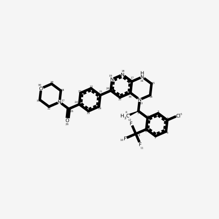 C[C@H](c1cc(Cl)ccc1C(F)(F)F)N1CCNc2nnc(-c3ccc(C(=O)N4CCOCC4)cc3)cc21